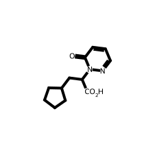 O=C(O)C(CC1CCCC1)n1ncccc1=O